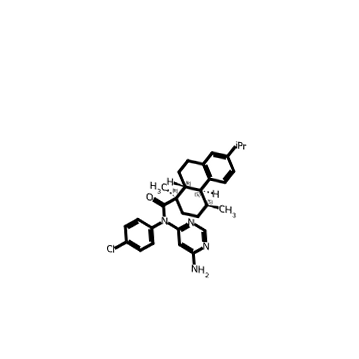 CC(C)c1ccc2c(c1)CC[C@@H]1[C@@H]2[C@@H](C)CC[C@@]1(C)C(=O)N(c1ccc(Cl)cc1)c1cc(N)ncn1